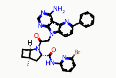 C[C@]12CC[C@H]1N(C(=O)Cn1c3ccc(-c4ccccc4)nc3c3c(N)ncnc31)[C@H](C(=O)Nc1cccc(Br)n1)C2